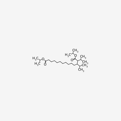 CC(C)OC(=O)CCCCCCCCCCC(C(C)C)C(C(=O)OC(C)C)C(C)C